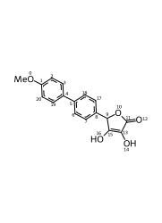 COc1ccc(-c2ccc(C3OC(=O)C(O)=C3O)cc2)cc1